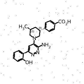 C[C@H]1C[C@H](c2ccc(C(=O)O)cc2)CN(c2cc(-c3ccccc3O)nnc2N)C1